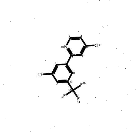 Fc1cc(-c2cc(Cl)ccn2)cc(C(F)(F)F)c1